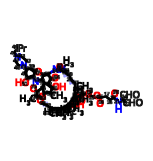 CC(=O)O[C@H]1[C@H](C)[C@H](O)[C@H](C)[C@@H](OC(=O)OCOC(=O)CCC(=O)NC(C=O)C=O)[C@@H](C)/C=C/C=C(/C)C(=O)Nc2c3oc4cc(N5CCN(CC(C)C)CC5)cc(O)c4nc-3c3c4c(c(C)c(O)c3c2=O)O[C@](C)(O/C=C/[C@H](C)[C@H]1C)C4=O